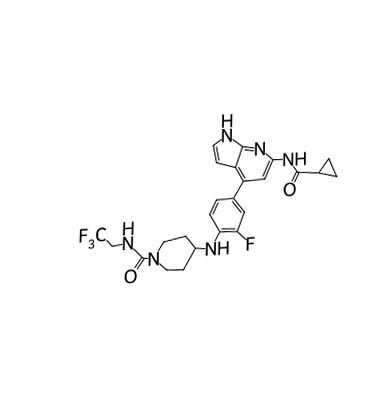 O=C(Nc1cc(-c2ccc(NC3CCN(C(=O)NCC(F)(F)F)CC3)c(F)c2)c2cc[nH]c2n1)C1CC1